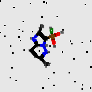 CCCc1ccc2nc(CC)c(S(=O)(=O)Cl)n2n1